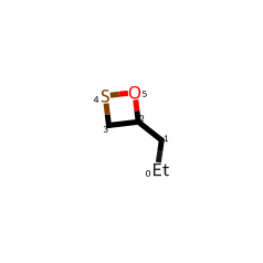 CCCC1CSO1